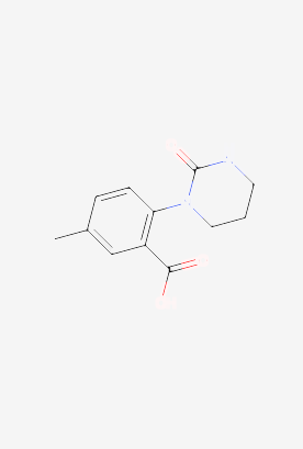 [CH2]c1ccc(N2CCCNC2=O)c(C(=O)O)c1